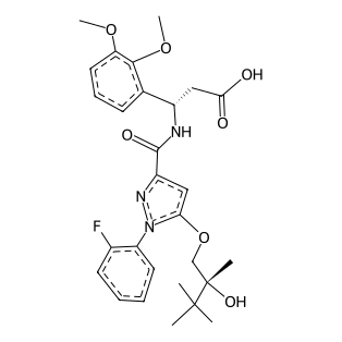 COc1cccc([C@H](CC(=O)O)NC(=O)c2cc(OC[C@](C)(O)C(C)(C)C)n(-c3ccccc3F)n2)c1OC